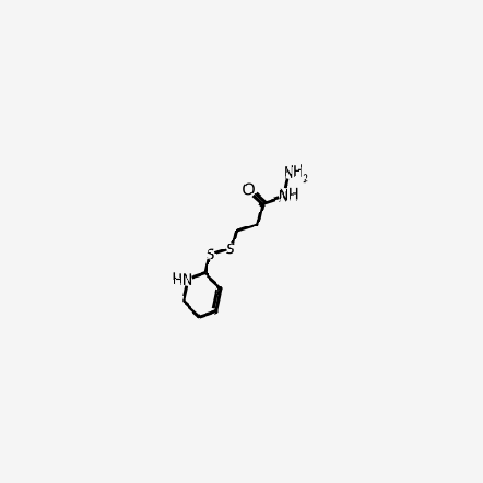 NNC(=O)CCSSC1C=CCCN1